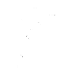 CCCCC(CC)NC(=O)N1CCN(C)CC1